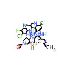 C=C(/C=C\C=C/C)[C@H](Nc1cc(Cl)c2ncc(C#N)c(Nc3ccc(F)c(Cl)c3)c2c1)C1=CN(C2CCN(C3COC3)C[C@H]2O)NN1